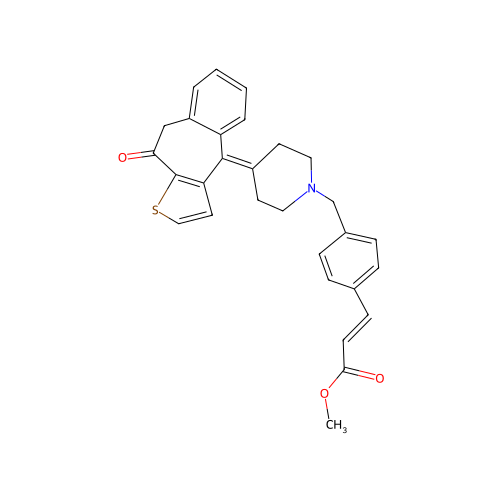 COC(=O)C=Cc1ccc(CN2CCC(=C3c4ccccc4CC(=O)c4sccc43)CC2)cc1